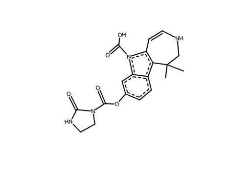 CC1(C)CNC=Cc2c1c1ccc(OC(=O)N3CCNC3=O)cc1n2C(=O)O